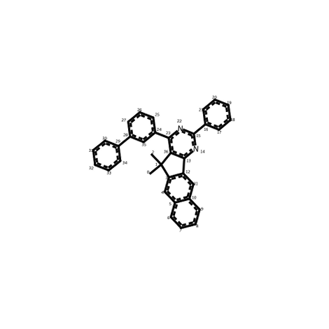 CC1(C)c2cc3ccccc3cc2-c2nc(-c3ccccc3)nc(-c3cccc(-c4ccccc4)c3)c21